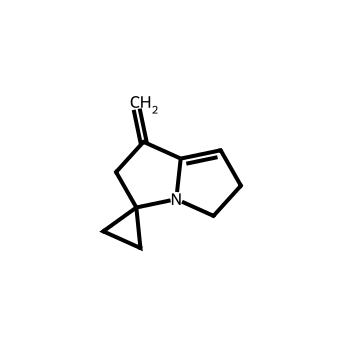 C=C1CC2(CC2)N2CCC=C12